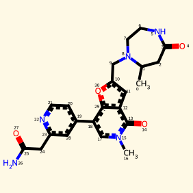 CC1CC(=O)NCCN1Cc1cc2c(=O)n(C)cc(-c3ccnc(CC(N)=O)c3)c2o1